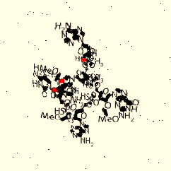 CC[C@]12O[C@@H](n3cnc4c(N)ncnc43)C(O[C@H]1C)[C@H]2OP(=O)(O)OC[C@]12O[C@@H](n3cnc4c(=O)[nH]c(N)nc43)C(O[C@H]1C)[C@H]2OP(=O)(O)OC[C@H]1O[C@@H](n2cnc3c(=O)[nH]c(N)nc32)C(OCCOC)[C@H]1OP(=O)(S)OC[C@H]1O[C@@H](n2cnc3c(N)ncnc32)C(OCCOC)[C@H]1OP(=O)(S)OC[C@H]1O[C@@H](N2C=C(C)C(N)NC2=O)C(OCCOC)[C@H]1O